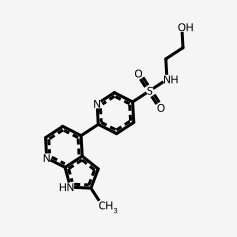 Cc1cc2c(-c3ccc(S(=O)(=O)NCCO)cn3)ccnc2[nH]1